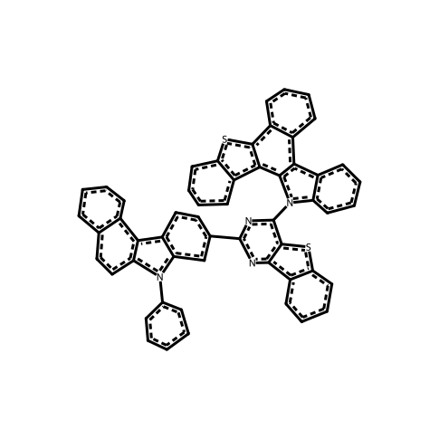 c1ccc(-n2c3cc(-c4nc(-n5c6ccccc6c6c7ccccc7c7sc8ccccc8c7c65)c5sc6ccccc6c5n4)ccc3c3c4ccccc4ccc32)cc1